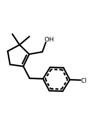 CC1(C)CCC(Cc2ccc(Cl)cc2)=C1CO